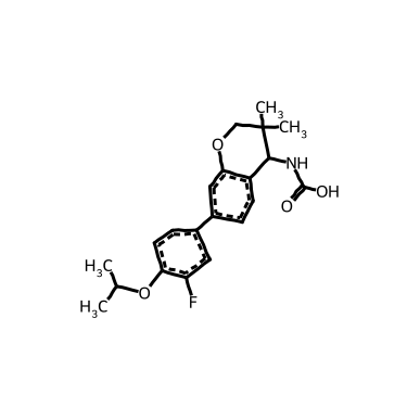 CC(C)Oc1ccc(-c2ccc3c(c2)OCC(C)(C)C3NC(=O)O)cc1F